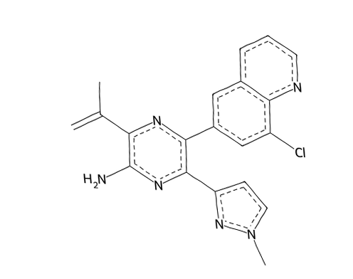 C=C(C)c1nc(-c2cc(Cl)c3ncccc3c2)c(-c2ccn(C)n2)nc1N